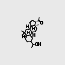 CC(=O)[C@H]1CC[C@H]2[C@@H]3CC(C)(C)[C@H]4CCC(C(C)O)C[C@@H]4[C@H]3CC[C@]12C